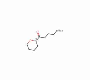 CCCCCCCCCC(=O)[SiH]1CCCCO1